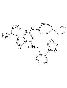 CC(C)c1cnn2c(NCc3ccccc3-n3cccn3)nc(Oc3ccc(N4CCCC4)cc3)nc12